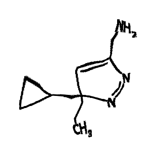 CC1(C2CC2)C=C(N)N=N1